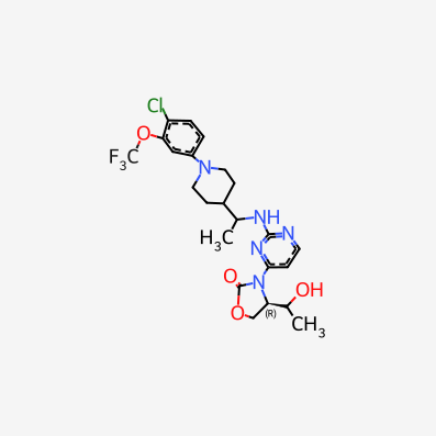 CC(Nc1nccc(N2C(=O)OC[C@@H]2C(C)O)n1)C1CCN(c2ccc(Cl)c(OC(F)(F)F)c2)CC1